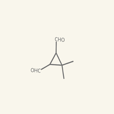 CC1(C)C(C=O)C1C=O